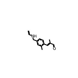 C=CNCc1ccc(/C=C(\C)C=O)c(C)c1